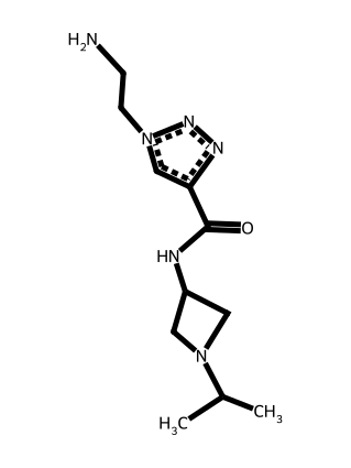 CC(C)N1CC(NC(=O)c2cn(CCN)nn2)C1